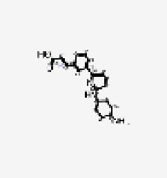 NC1CCC(Nc2cccc(-c3cccc(/C=C/C(=O)O)c3)n2)CC1